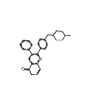 CC1CCC(Cc2ccc(-c3nc4c(cc3-c3ccccc3)C(=O)CC=C4)cc2)CC1